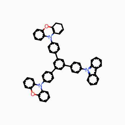 C1=CC2=C(CC1)Oc1ccccc1N2c1ccc(-c2cc(-c3ccc(N4c5ccccc5Oc5ccccc54)cc3)cc(-c3ccc(-n4c5ccccc5c5ccccc54)cc3)c2)cc1